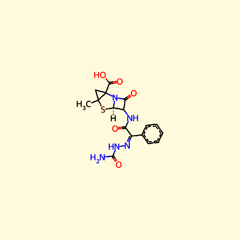 CC12CC1(C(=O)O)N1C(=O)C(NC(=O)/C(=N\NC(N)=O)c3ccccc3)[C@H]1S2